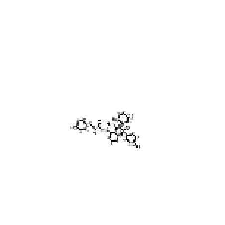 C[C@H](c1ccccc1CCC(=O)NCc1ccc(F)cc1)N(c1cc(F)ccc1F)S(=O)(=O)c1ccc(Cl)cc1